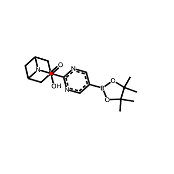 CC1(C)OB(c2cnc(N3CC4CC(C3)N4C(=O)O)nc2)OC1(C)C